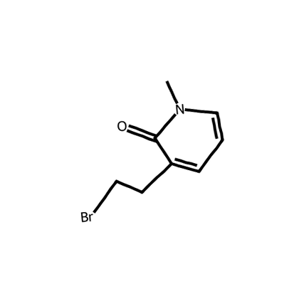 Cn1cccc(CCBr)c1=O